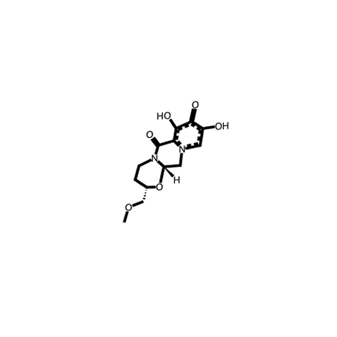 COC[C@@H]1CCN2C(=O)c3c(O)c(=O)c(O)cn3C[C@@H]2O1